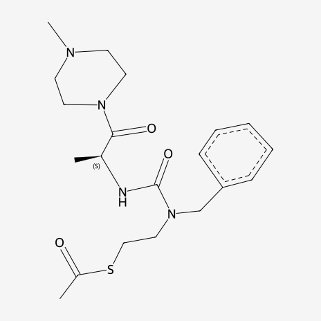 CC(=O)SCCN(Cc1ccccc1)C(=O)N[C@@H](C)C(=O)N1CCN(C)CC1